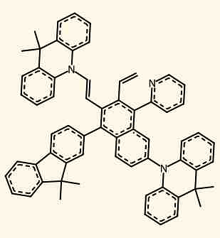 C=Cc1c(/C=C/N2c3ccccc3C(C)(C)c3ccccc32)c(-c2ccc3c(c2)C(C)(C)c2ccccc2-3)c2ccc(N3c4ccccc4C(C)(C)c4ccccc43)cc2c1-c1ccccn1